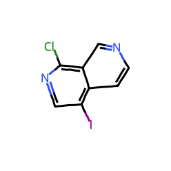 Clc1ncc(I)c2ccncc12